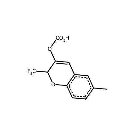 Cc1ccc2c(c1)C=C(OC(=O)O)C(C(F)(F)F)O2